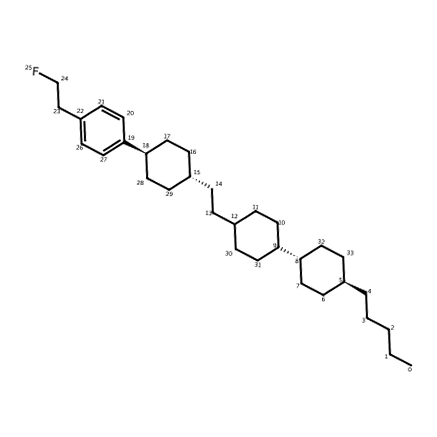 CCCCC[C@H]1CC[C@H](C2CCC(CC[C@H]3CC[C@H](c4ccc(CCF)cc4)CC3)CC2)CC1